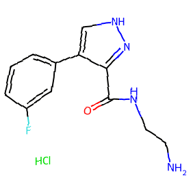 Cl.NCCNC(=O)c1n[nH]cc1-c1cccc(F)c1